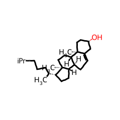 CC(C)CCCC(C)[C@H]1CC[C@H]2[C@@H]3CC=C4C[C@@H](O)CC[C@]4(C)[C@H]3CC[C@]12C